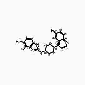 Cc1c(Br)ccc2[nH]c(CC3CCC(c4ccnc5ccc(F)cc45)CC3)nc12